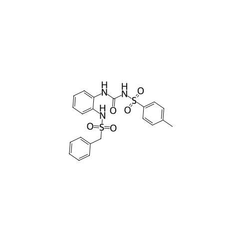 Cc1ccc(S(=O)(=O)NC(=O)Nc2ccccc2NS(=O)(=O)Cc2ccccc2)cc1